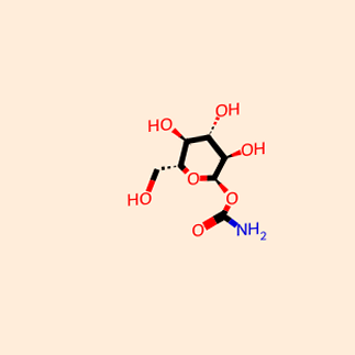 NC(=O)O[C@H]1O[C@H](CO)[C@@H](O)[C@H](O)[C@H]1O